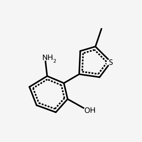 Cc1cc(-c2c(N)cccc2O)cs1